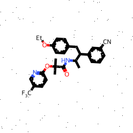 CCOc1ccc(CC(c2cccc(C#N)c2)C(C)NC(=O)C(C)(C)Oc2ccc(C(F)(F)F)cn2)cc1